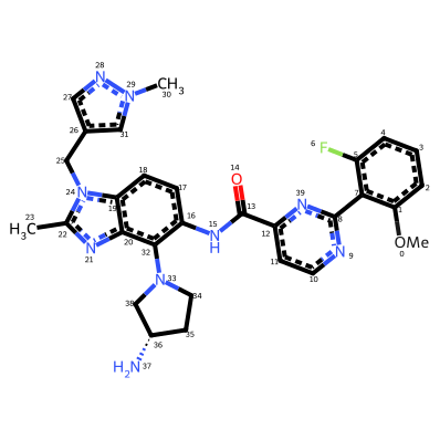 COc1cccc(F)c1-c1nccc(C(=O)Nc2ccc3c(nc(C)n3Cc3cnn(C)c3)c2N2CC[C@H](N)C2)n1